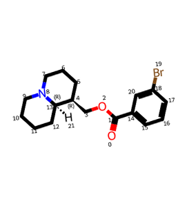 O=C(OC[C@@H]1CCCN2CCCC[C@H]12)c1cccc(Br)c1